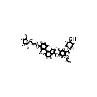 CCOc1cc(O[C@H]2CCc3c(-c4cccc(OCCCN5[C@H](C)CC[C@H]5C)c4C)cccc32)c(Cl)cc1CN1CCC(O)CC1